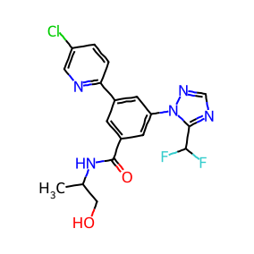 CC(CO)NC(=O)c1cc(-c2ccc(Cl)cn2)cc(-n2ncnc2C(F)F)c1